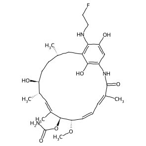 CO[C@H]1/C=C\C=C(/C)C(=O)Nc2cc(O)c(NCCF)c(c2O)C[C@@H](C)CC[C@H](O)[C@@H](C)/C=C(\C)[C@@H]1OC(N)=O